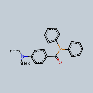 CCCCCCN(CCCCCC)c1ccc(C(=O)P(c2ccccc2)c2ccccc2)cc1